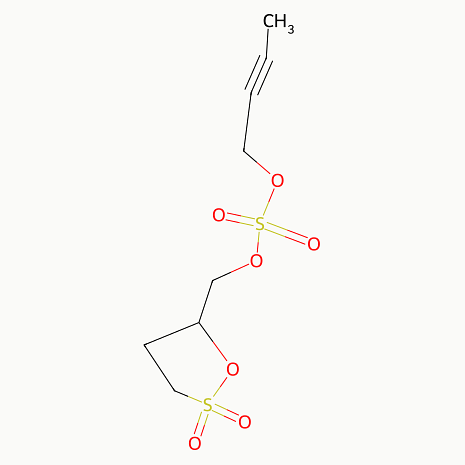 CC#CCOS(=O)(=O)OCC1CCS(=O)(=O)O1